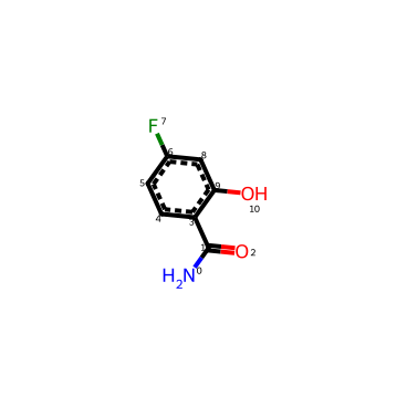 NC(=O)c1ccc(F)cc1O